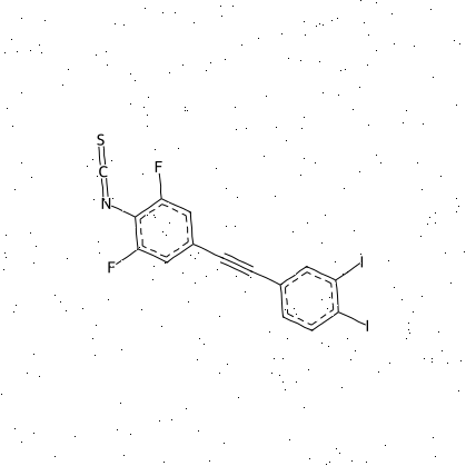 Fc1cc(C#Cc2ccc(I)c(I)c2)cc(F)c1N=C=S